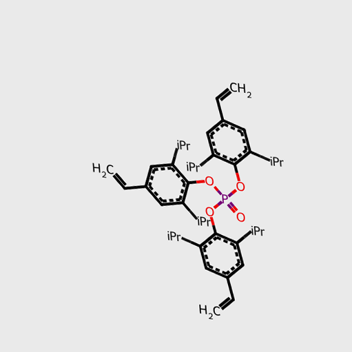 C=Cc1cc(C(C)C)c(OP(=O)(Oc2c(C(C)C)cc(C=C)cc2C(C)C)Oc2c(C(C)C)cc(C=C)cc2C(C)C)c(C(C)C)c1